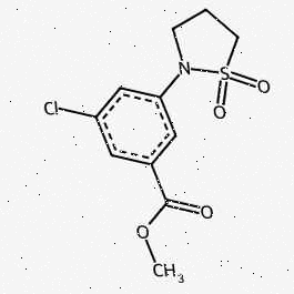 COC(=O)c1cc(Cl)cc(N2CCCS2(=O)=O)c1